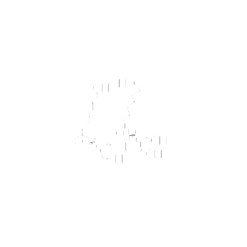 CCCCCCCC(=O)OOC(CC)CC.CCCCCCCC(=O)OOC(CC)CC